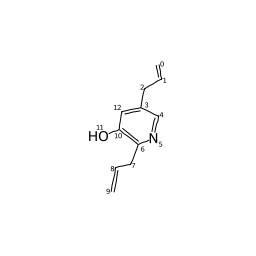 C=CCc1cnc(CC=C)c(O)c1